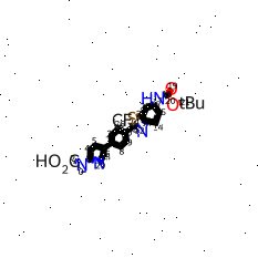 CN(C(=O)O)c1ccc(-c2ccc(-c3nc4ccc(NC(=O)OC(C)(C)C)cc4s3)c(C(F)(F)F)c2)cn1